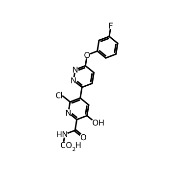 O=C(O)NC(=O)c1nc(Cl)c(-c2ccc(Oc3cccc(F)c3)nn2)cc1O